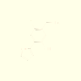 CC(C)(C)Cc1cc(O)c(-c2ccco2)cc1F